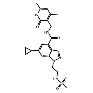 Cc1cc(C)c(CNC(=O)c2cc(C3CC3)nc3c2cnn3CCNS(C)(=O)=O)c(=O)[nH]1